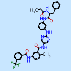 C=CC(=O)NC(Cc1ccccc1)C(=O)Nc1cccc(Nc2ncc(NC(=O)c3cc(NC(=O)c4cccc(C(F)(F)F)c4)ccc3C)cn2)c1